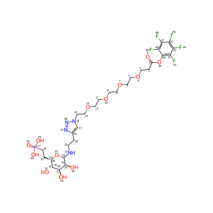 O=C(CCOCCOCCOCCOCCn1cc(CCNC2O[C@H](CCP(=O)(O)O)[C@@H](O)[C@H](O)[C@@H]2O)nn1)Oc1c(F)c(F)c(F)c(F)c1F